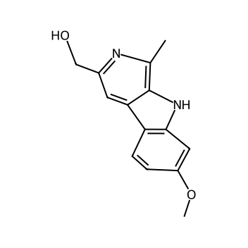 COc1ccc2c(c1)[nH]c1c(C)nc(CO)cc12